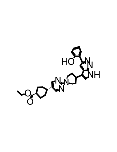 CCOC(=O)[C@H]1CC[C@H](c2cnc(N3CCC(c4c[nH]c5nnc(-c6ccccc6O)cc45)CC3)nc2)CC1